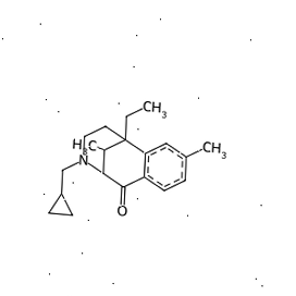 CCC12CCN(CC3CC3)C(C(=O)c3ccc(C)cc31)C2C